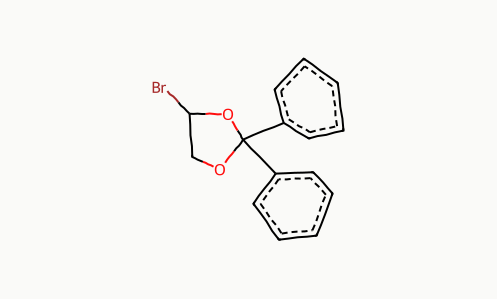 BrC1COC(c2ccccc2)(c2ccccc2)O1